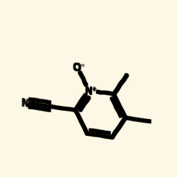 Cc1ccc(C#N)[n+]([O-])c1C